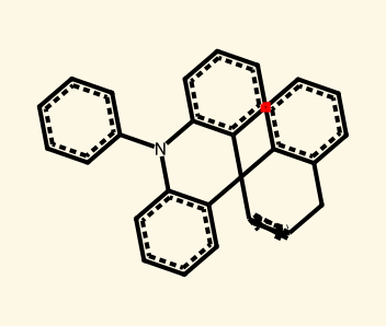 c1ccc(N2c3ccccc3C3(c4ccccc4Cc4ccccc43)c3ccccc32)cc1